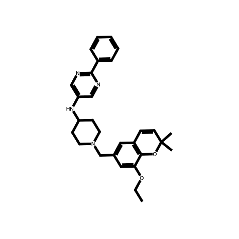 CCOc1cc(CN2CCC(Nc3cnc(-c4ccccc4)nc3)CC2)cc2c1OC(C)(C)C=C2